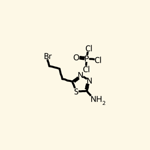 Nc1nnc(CCCBr)s1.O=P(Cl)(Cl)Cl